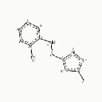 Cn1nnc(CNc2ccccc2Cl)n1